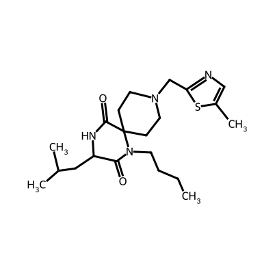 CCCCN1C(=O)C(CC(C)C)NC(=O)C12CCN(Cc1ncc(C)s1)CC2